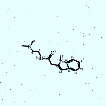 CN(C)CCNC(=O)[CH]c1cc2ccccc2[nH]1